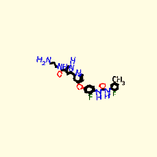 Cc1ccc(F)c(NC(=O)Nc2ccc(Oc3ccnc(-c4cc(C(=O)NCCCN)c[nH]4)c3)cc2F)c1